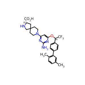 Cc1ccc(C)c(-c2ccc([C@@H](Oc3cc(N4CCC5(CC4)CN[C@H](C(=O)O)C5)nc(N)n3)C(F)(F)F)cc2)c1